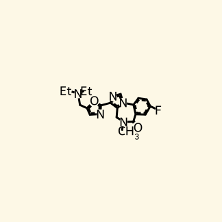 CCN(CC)Cc1cnc(-c2ncn3c2CN(C)C(=O)c2cc(F)ccc2-3)o1